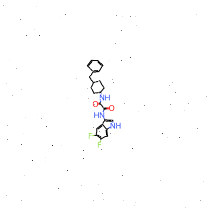 O=C(Nc1c[nH]c2cc(F)c(F)cc12)C(=O)NC1CCC(Cc2ccccc2)CC1